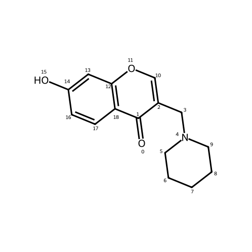 O=c1c(CN2CCCCC2)coc2cc(O)ccc12